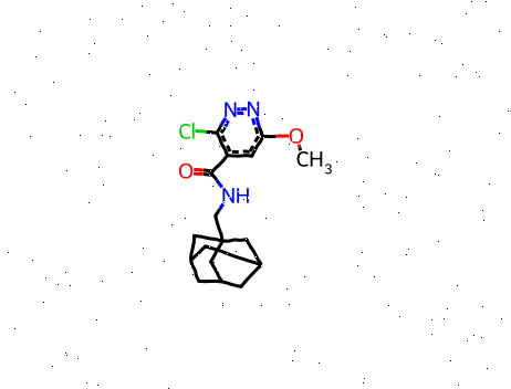 COc1cc(C(=O)NCC23CC4CC(CC(C4)C2)C3)c(Cl)nn1